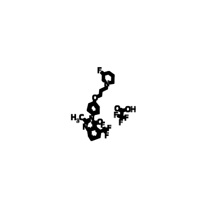 Cc1nc2cccc(C(F)(F)F)c2c(=O)n1-c1ccc(OCCCN2CCCC(F)C2)cc1.O=C(O)C(F)(F)F